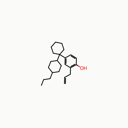 C=CCc1cc(C2(C3CCC(CCC)CC3)CCCCC2)ccc1O